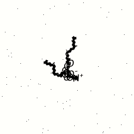 C/C(=C\C(=O)OC[C@H](COP(=O)([O-])OCC[N+](C)(C)C)OC(=O)/C=C(\C)CCC[C@H](C)CCC[C@H](C)CCCC(C)C)CCC[C@H](C)CCC[C@H](C)CCCC(C)C